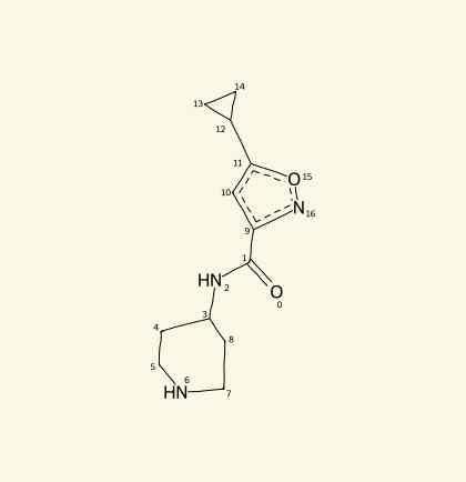 O=C(NC1CCNCC1)c1cc(C2CC2)on1